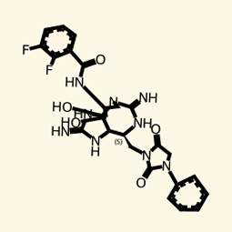 N=C1NC2[C@H](CN3C(=O)CN(c4ccccc4)C3=O)NC(=N)N3CC(NC(=O)c4cccc(F)c4F)C(O)(O)C23N1